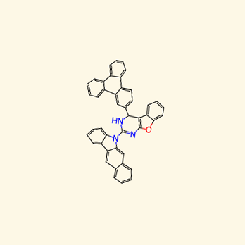 c1ccc2cc3c(cc2c1)c1ccccc1n3C1=Nc2oc3ccccc3c2C(c2ccc3c4ccccc4c4ccccc4c3c2)N1